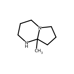 CC12CCCN1CCCN2